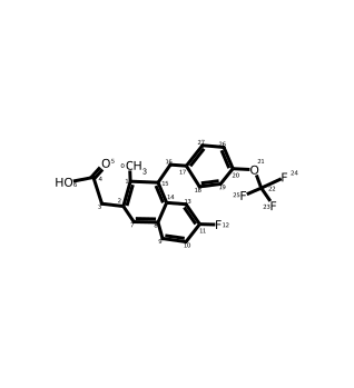 Cc1c(CC(=O)O)cc2ccc(F)cc2c1Cc1ccc(OC(F)(F)F)cc1